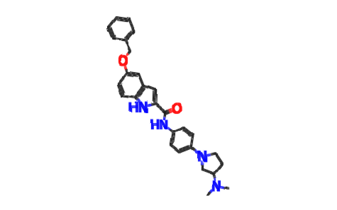 CN(C)C1CCN(c2ccc(NC(=O)c3cc4cc(OCc5ccccc5)ccc4[nH]3)cc2)C1